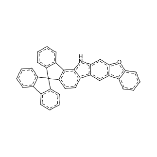 c1ccc2c(c1)-c1ccccc1C21c2ccccc2-c2c1ccc1c2[nH]c2cc3oc4ccccc4c3cc21